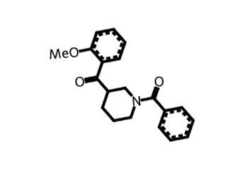 COc1ccccc1C(=O)C1CCCN(C(=O)c2ccccc2)C1